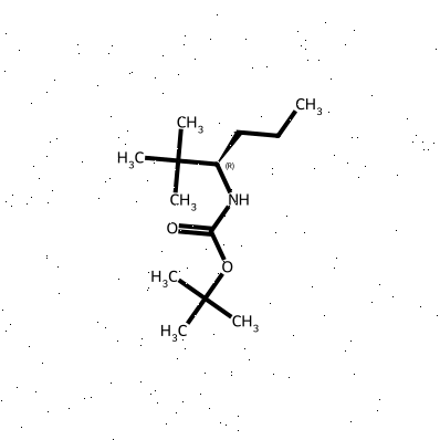 CC[CH][C@@H](NC(=O)OC(C)(C)C)C(C)(C)C